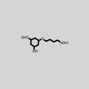 CCCCCCCCCCCCOC1CC(O)CC(C=O)C1